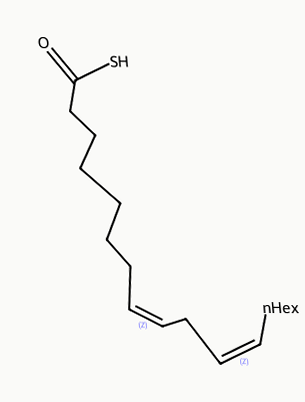 CCCCCC/C=C\C/C=C\CCCCCCC(=O)S